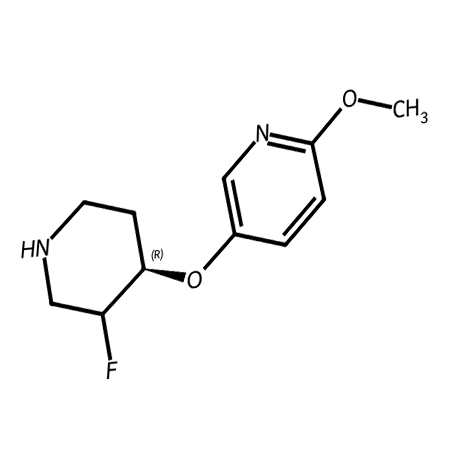 COc1ccc(O[C@@H]2CCNCC2F)cn1